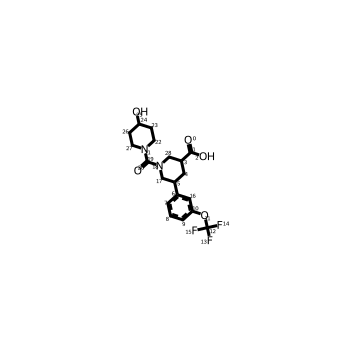 O=C(O)C1CC(c2cccc(OC(F)(F)F)c2)CN(C(=O)N2CCC(O)CC2)C1